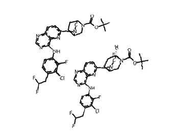 CC(C)(C)OC(=O)N1CC2CCC1CN2c1ccc2ncnc(Nc3ccc(CC(F)F)c(Cl)c3F)c2n1.CC(C)(C)OC(=O)N1CC2CC[C@@H]1CN2c1ccc2ncnc(Nc3ccc(CC(F)F)c(Cl)c3F)c2n1